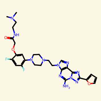 CN(C)CCNC(=O)COc1cc(N2CCN(CCn3cnc4c3nc(N)n3nc(-c5ccco5)nc43)CC2)c(F)cc1F